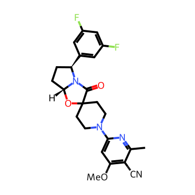 COc1cc(N2CCC3(CC2)O[C@@H]2CC[C@@H](c4cc(F)cc(F)c4)N2C3=O)nc(C)c1C#N